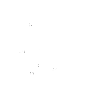 CC(=O)C1C(c2ccccc2)C2c3cnccc3NC2N1C(C)C